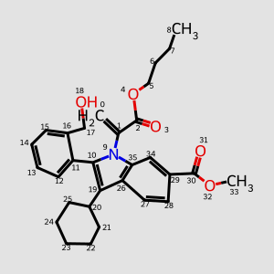 C=C(C(=O)OCCCC)n1c(-c2ccccc2CO)c(C2CCCCC2)c2ccc(C(=O)OC)cc21